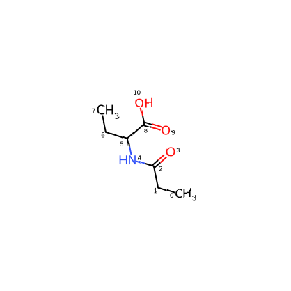 CCC(=O)NC(CC)C(=O)O